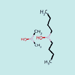 CB(C)O.CCCCB(O)CCCC